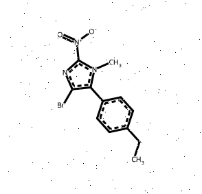 CCc1ccc(-c2c(Br)nc([N+](=O)[O-])n2C)cc1